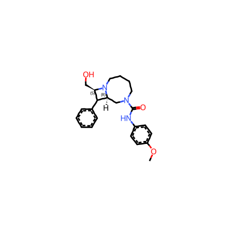 COc1ccc(NC(=O)N2CCCCN3[C@H](CO)C(c4ccccc4)[C@@H]3C2)cc1